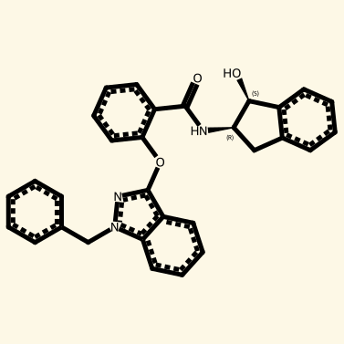 O=C(N[C@@H]1Cc2ccccc2[C@@H]1O)c1ccccc1Oc1nn(Cc2ccccc2)c2ccccc12